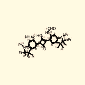 CCCC1(C)N(C(C)C)c2cc(NC=O)c(C3=C(O)/C(=c4/cc5c(cc4NC(C)=O)=[N+](C(C)C)C(C)(CC)C5(C)C)C3=O)cc2C1(C)C